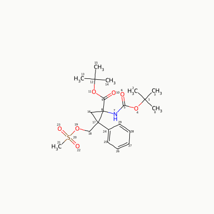 CC(C)(C)OC(=O)NC1(C(=O)OC(C)(C)C)CC1(COS(C)(=O)=O)c1ccccc1